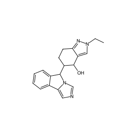 CCn1cc2c(n1)CCC(C1c3ccccc3-c3cncn31)C2O